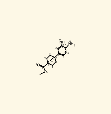 COC(=O)C12CCC(c3ccc(N)c(N)c3)(CC1)CC2